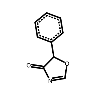 O=C1N=COC1c1ccccc1